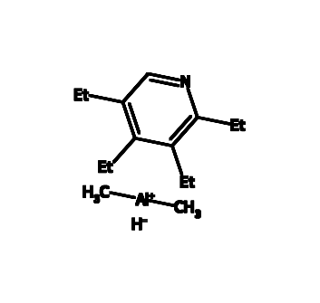 CCc1cnc(CC)c(CC)c1CC.[CH3][Al+][CH3].[H-]